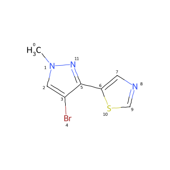 Cn1cc(Br)c(-c2cncs2)n1